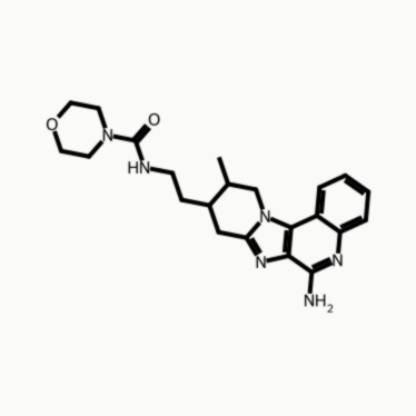 CC1Cn2c(nc3c(N)nc4ccccc4c32)CC1CCNC(=O)N1CCOCC1